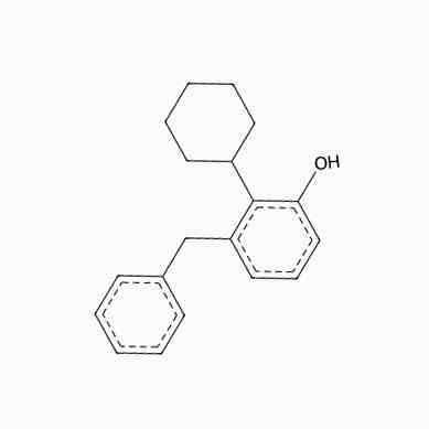 Oc1cccc(Cc2ccccc2)c1C1CCCCC1